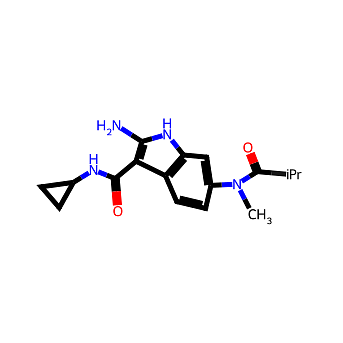 CC(C)C(=O)N(C)c1ccc2c(C(=O)NC3CC3)c(N)[nH]c2c1